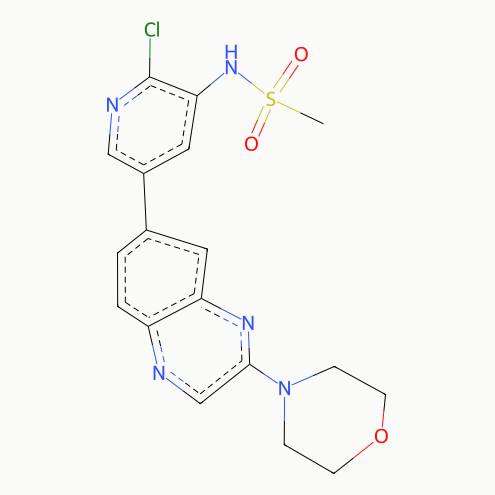 CS(=O)(=O)Nc1cc(-c2ccc3ncc(N4CCOCC4)nc3c2)cnc1Cl